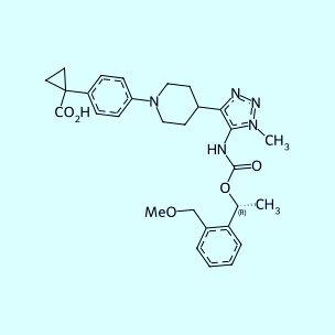 COCc1ccccc1[C@@H](C)OC(=O)Nc1c(C2CCN(c3ccc(C4(C(=O)O)CC4)cc3)CC2)nnn1C